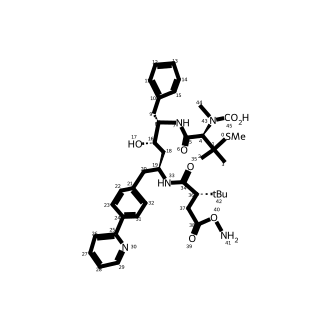 CSC(C)(C)[C@@H](C(=O)N[C@@H](Cc1ccccc1)[C@@H](O)C[C@H](Cc1ccc(-c2ccccn2)cc1)NC(=O)[C@@H](CC(=O)ON)C(C)(C)C)N(C)C(=O)O